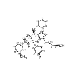 C#CCOCc1nn(-c2ccccc2)c2c1[C@H](c1ccc(F)cc1)C(NC(=O)c1cccc(C)c1)C(=O)N2CC